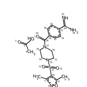 CC(=O)O.Cc1noc(C)c1S(=O)(=O)N1CCN(C(=O)c2ccc(C(=N)N)cc2)CC1